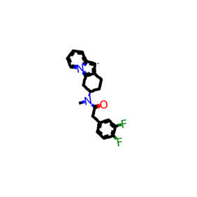 CN(C(=O)Cc1ccc(F)c(F)c1)[C@@H]1CCc2[c]c3ccccn3c2C1